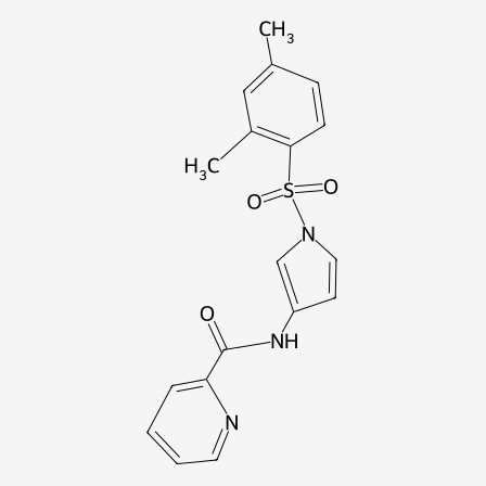 Cc1ccc(S(=O)(=O)n2ccc(NC(=O)c3ccccn3)c2)c(C)c1